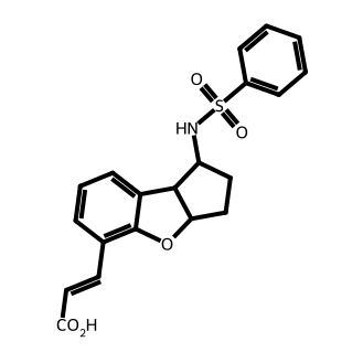 O=C(O)C=Cc1cccc2c1OC1CCC(NS(=O)(=O)c3ccccc3)C21